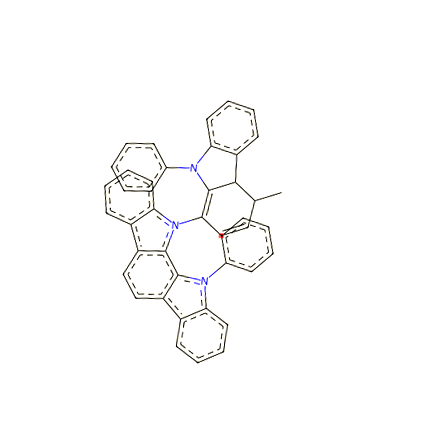 CC1C=CC(n2c3ccccc3c3ccc4c5ccccc5n(-c5ccccc5)c4c32)=C2C1c1ccccc1N2c1ccccc1